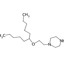 CCCCCC(CCCCC)OCCN1CCNCC1